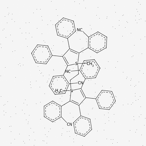 C[Si]1(CC[Si]2(C)C(c3ccccc3C#N)=C(c3ccccc3)C(c3ccccc3)=C2c2ccccc2C#N)C(c2ccccc2C#N)=C(c2ccccc2)C(c2ccccc2)=C1c1ccccc1C#N